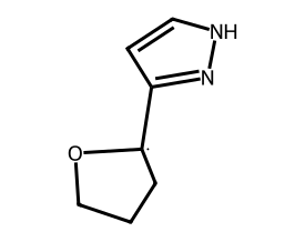 c1cc([C]2CCCO2)n[nH]1